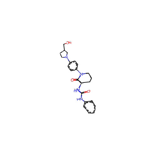 O=C(Nc1ccccc1)N[C@@H]1CCCN(c2ccc(N3CCC(CO)C3)cc2)C1=O